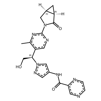 Cc1nc(N2C[C@H]3C[C@H]3C2=O)ncc1[C@H](CO)n1cc(NC(=O)c2cnccn2)cn1